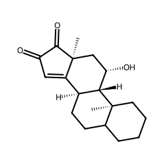 C[C@]12C[C@H](O)[C@H]3[C@@H](CCC4CCCC[C@@]43C)C1=CC(=O)C2=O